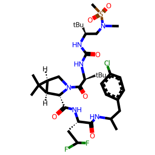 CC(Cc1ccc(Cl)cc1)NC(=O)[C@H](CC(F)F)NC(=O)[C@@H]1[C@@H]2[C@H](CN1C(=O)[C@@H](NC(=O)N[C@H](CN(C)S(C)(=O)=O)C(C)(C)C)C(C)(C)C)C2(C)C